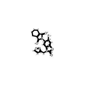 O=C1C2=C(CCCC2)C(=O)N1c1cc2c(cc1F)oc(=O)n2Cc1ccon1